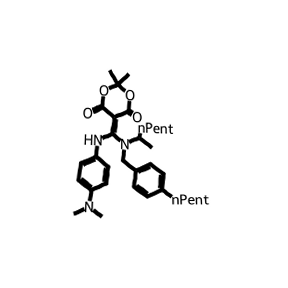 CCCCCc1ccc(CN(C(Nc2ccc(N(C)C)cc2)=C2C(=O)OC(C)(C)OC2=O)C(C)CCCCC)cc1